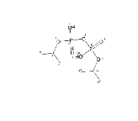 CC(C)OP(=O)(O)OP(=O)(O)OC(C)C